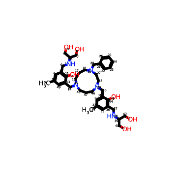 Cc1cc(CNC(CO)CO)c(O)c(CN2CCCN(Cc3ccccc3)CCN(Cc3cc(C)cc(CNC(CO)CO)c3O)CCC2)c1